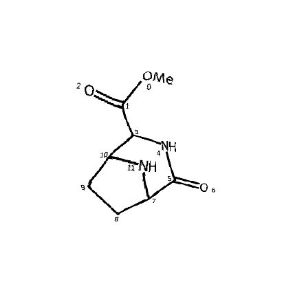 COC(=O)C1NC(=O)C2CCC1N2